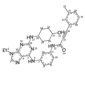 CCn1cnc2c(Nc3cccc(NC(=O)C#Cc4cccc(C)c4)c3)nc(NC3CCC(O)CC3)nc21